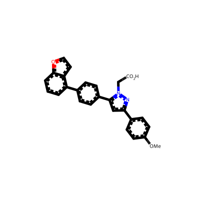 COc1ccc(-c2cc(-c3ccc(-c4cccc5occc45)cc3)n(CC(=O)O)n2)cc1